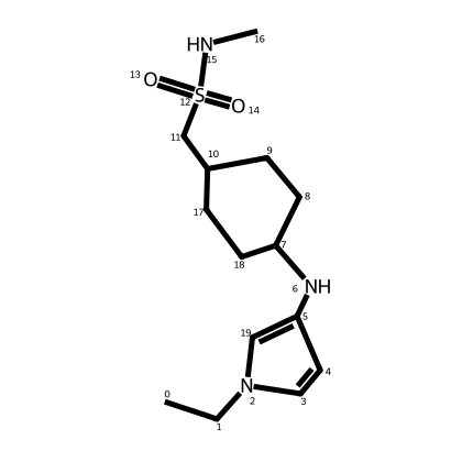 CCn1ccc(NC2CCC(CS(=O)(=O)NC)CC2)c1